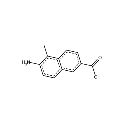 Cc1c(N)ccc2cc(C(=O)O)ccc12